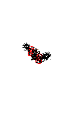 c1ccc(C2COc3c(csc3-c3scc4c3OC(c3ccccc3)CO4)O2)cc1